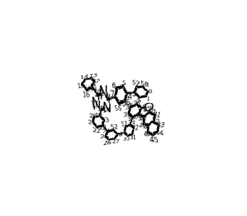 c1ccc(-c2ccc(-c3nc(-c4ccccc4)nc(-c4cccc(-c5cccc(-c6cccc(-c7cccc8oc9cc%10ccccc%10cc9c78)c6)c5)c4)n3)cc2)cc1